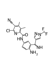 Cc1c(C(=O)Nc2ccc(N)c(C(=N)c3cnn(C(F)F)c3)c2)nc(Cl)c(C#N)c1C